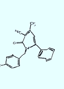 N#Cc1c(C(F)(F)F)cc(-c2ccccc2)n(Cc2ccc(C(F)(F)F)cc2)c1=O